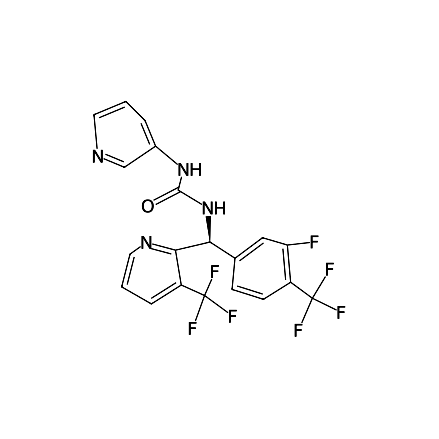 O=C(Nc1cccnc1)N[C@@H](c1ccc(C(F)(F)F)c(F)c1)c1ncccc1C(F)(F)F